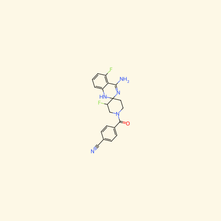 N#Cc1ccc(C(=O)N2CCC3(N=C(N)c4c(F)cccc4N3)C(F)C2)cc1